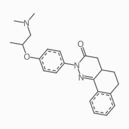 CC(CN(C)C)Oc1ccc(N2N=C3c4ccccc4CCC3CC2=O)cc1